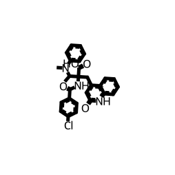 CC(N(C)c1ccccc1)C(Cc1cc(=O)[nH]c2ccccc12)(NC(=O)c1ccc(Cl)cc1)C(=O)O